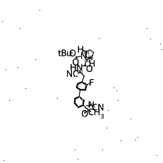 CC(C)(C)OC(=O)N1[C@@H]2CC[C@@H](C2)[C@H]1C(=O)N[C@H](C#N)Cc1ccc(-c2cccc(S(C)(=O)=NC#N)c2)cc1F